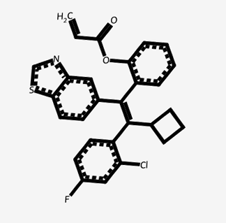 C=CC(=O)Oc1ccccc1/C(=C(/c1ccc(F)cc1Cl)C1CCC1)c1ccc2scnc2c1